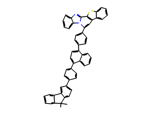 CC1(C)c2ccccc2-c2cc(-c3ccc(-c4ccc(-c5ccc(-c6cc7c8ccccc8sc7c7nc8ccccc8n67)cc5)c5ccccc45)cc3)ccc21